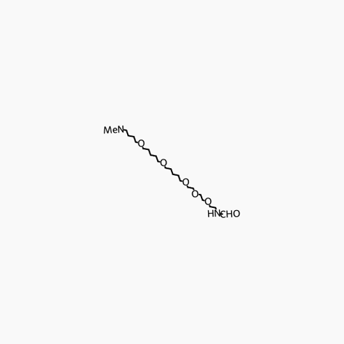 CNCCCCOCCCCCOCCCCCOCCOCCOCCNC=O